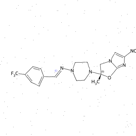 C[C@@]1(N2CCN(/N=C/c3ccc(C(F)(F)F)cc3)CC2)Cn2cc([N+](=O)[O-])nc2O1